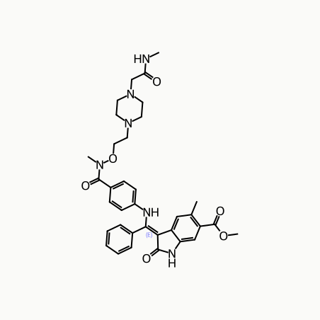 CNC(=O)CN1CCN(CCON(C)C(=O)c2ccc(N/C(=C3/C(=O)Nc4cc(C(=O)OC)c(C)cc43)c3ccccc3)cc2)CC1